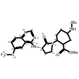 COC(=O)C1CC(NC(C)(C)C)CCC1N1CC[C@H](Nc2ncnc3ccc(OC(F)(F)F)cc23)C1=O